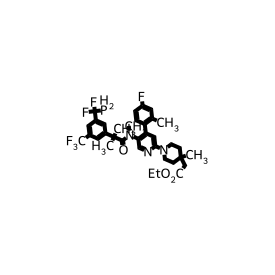 CCOC(=O)CC1(C)CCN(c2cc(-c3ccc(F)cc3C)c(N(C)C(=O)C(C)(C)c3cc(C(F)(F)F)cc(C(F)(F)P)c3)cn2)CC1